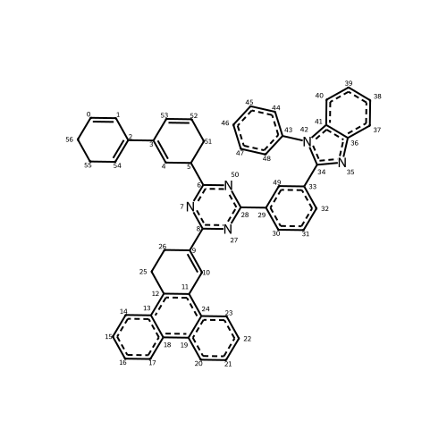 C1=CC(C2=CC(c3nc(C4=Cc5c(c6ccccc6c6ccccc56)CC4)nc(-c4cccc(-c5nc6ccccc6n5-c5ccccc5)c4)n3)CC=C2)=CCC1